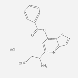 Cl.NC(CC=O)c1cc(OC(=O)c2ccccc2)c2sccc2n1